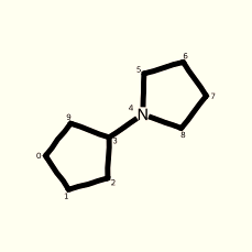 [CH]1CCC(N2CCCC2)C1